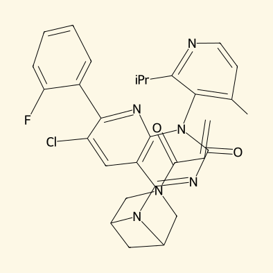 C=CC(=O)N1CC2CC(C1)N2c1nc(=O)n(-c2c(C)ccnc2C(C)C)c2nc(-c3ccccc3F)c(Cl)cc12